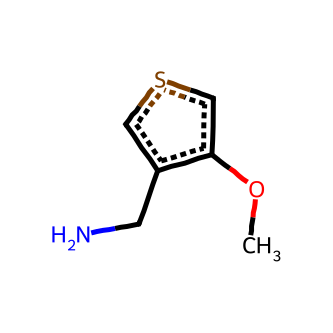 COc1cscc1CN